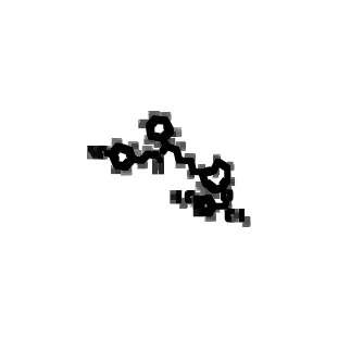 C[C@@H](OC1=C/CC/C=C(CCCCC(NCCc2ccc(C#N)cc2)c2ccccc2)/C=C\1)c1cnn(C)c1